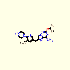 CCC(CC)Oc1nc(N)c2nc(Cc3cnc(N4CCNCC4)c(C)c3)cn2n1